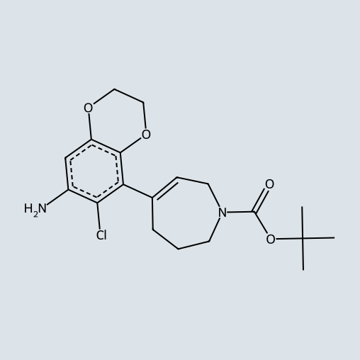 CC(C)(C)OC(=O)N1CC=C(c2c(Cl)c(N)cc3c2OCCO3)CCC1